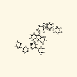 c1ccc(-c2cccc(-c3nc(-c4ccccc4)cc(-c4cccc5c4c4ccccc4n5-c4ccc5oc6ccc(-c7ccccc7)cc6c5c4)n3)c2)cc1